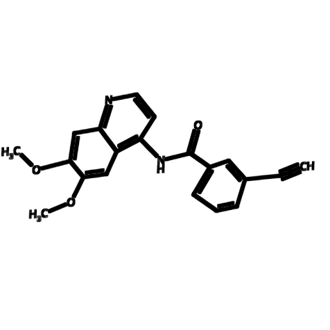 C#Cc1cccc(C(=O)Nc2ccnc3cc(OC)c(OC)cc23)c1